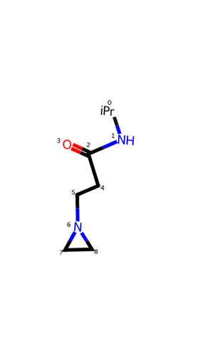 CC(C)NC(=O)CCN1CC1